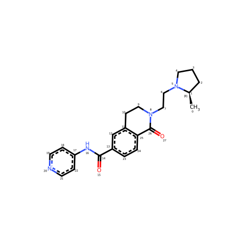 C[C@@H]1CCCN1CCN1CCc2cc(C(=O)Nc3ccncc3)ccc2C1=O